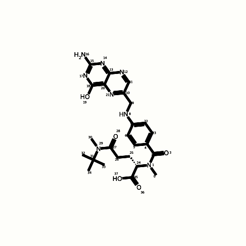 CN(C(=O)c1ccc(NCc2cnc3nc(N)nc(O)c3n2)cc1)[C@@H](CCC(=O)N(C)C(C)(C)C)C(=O)O